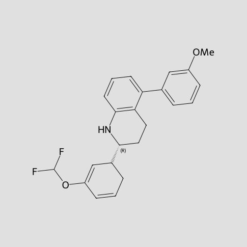 COc1cccc(-c2cccc3c2CC[C@H](C2C=C(OC(F)F)C=CC2)N3)c1